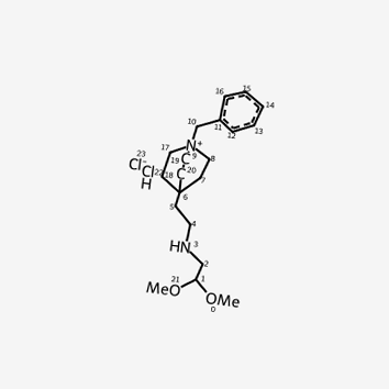 COC(CNCCC12CC[N+](Cc3ccccc3)(CC1)CC2)OC.Cl.[Cl-]